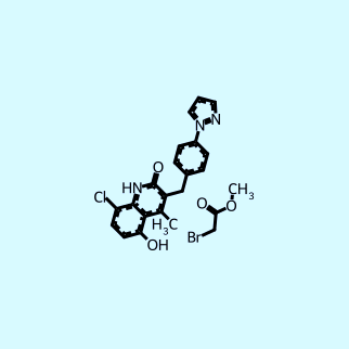 COC(=O)CBr.Cc1c(Cc2ccc(-n3cccn3)cc2)c(=O)[nH]c2c(Cl)ccc(O)c12